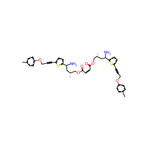 Cc1ccc(OCC#Cc2ccc(C(N)C[C@@H](C)COC(=O)/C=C\C(=O)OC[C@H](C)CC(N)c3ccc(C#CCOc4ccc(C)cc4)s3)s2)cc1